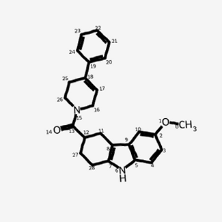 COc1ccc2[nH]c3c(c2c1)CC(C(=O)N1CC=C(c2ccccc2)CC1)CC3